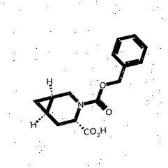 O=C(O)[C@@H]1C[C@H]2C[C@H]2CN1C(=O)OCc1ccccc1